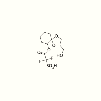 O=C(OC1CCCCC12OCC(CO)O2)C(F)(F)S(=O)(=O)O